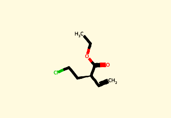 C=C[C@@H](CCCl)C(=O)OCC